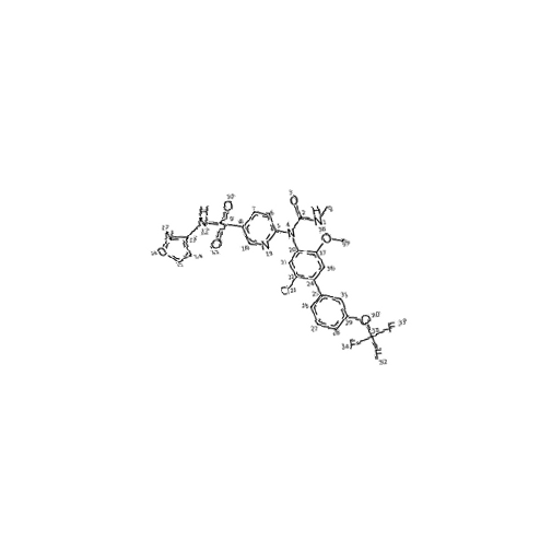 CNC(=O)N(c1ccc(S(=O)(=O)Nc2ccon2)cn1)c1cc(Cl)c(-c2cccc(OC(F)(F)F)c2)cc1OC